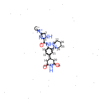 [C-]#[N+]c1c[nH]c(C(=O)Nc2ccc(C3CC(=O)NC(=O)C3)cc2N2CCCCC2)n1